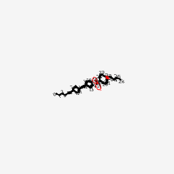 CCCCC#Cc1ccc(C#Cc2ccc(OC(=O)[C@H]3CC[C@H](CCCC)CC3)cc2)cc1